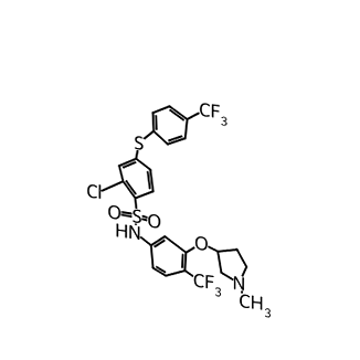 CN1CCC(Oc2cc(NS(=O)(=O)c3ccc(Sc4ccc(C(F)(F)F)cc4)cc3Cl)ccc2C(F)(F)F)C1